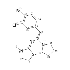 CN1CCSC1=NC(=Nc1ccc(Br)c(Cl)c1)N1CCCC1